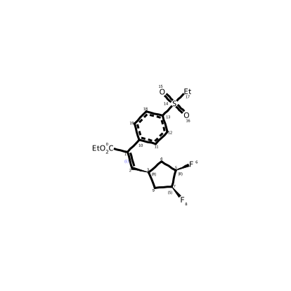 CCOC(=O)/C(=C/[C@H]1C[C@@H](F)[C@@H](F)C1)c1ccc(S(=O)(=O)CC)cc1